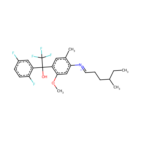 CCC(C)CC/C=N/c1cc(OC)c(C(O)(c2cc(F)ccc2F)C(F)(F)F)cc1C